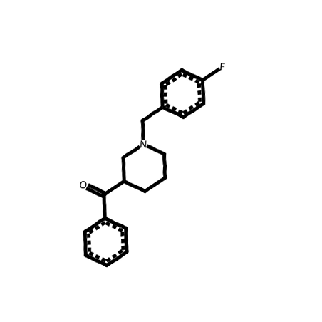 O=C(c1ccccc1)C1CCCN(Cc2ccc(F)cc2)C1